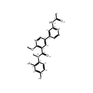 COc1ncc(-c2ccnc(NC(C)=O)c2)cc1C(=O)N(C)c1ccc(F)cc1F